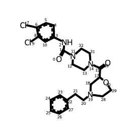 O=C(Nc1ccc(Cl)c(Cl)c1)N1CCN(C(=O)C2CN(CCc3ccccc3)CCO2)CC1